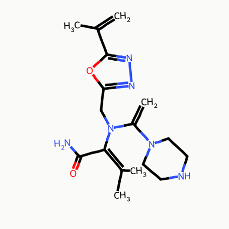 C=C(C)c1nnc(CN(C(=C)N2CCNCC2)C(C(N)=O)=C(C)C)o1